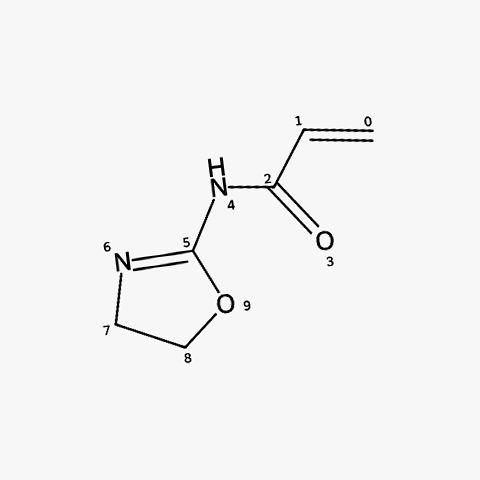 C=CC(=O)NC1=NCCO1